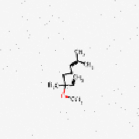 C=CC(C)(CCC=C(C)C)OC(Cl)(Cl)Cl